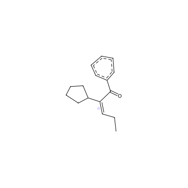 CC/C=C(\C(=O)c1ccccc1)C1CCCC1